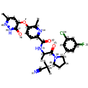 Cc1cc(Oc2ccc(C(=O)NC(C)C(=O)N3[C@H](c4cc(F)cc(Cl)c4)CC[C@@H]3C(C)(C)C#N)nc2C)c(=O)[nH]n1